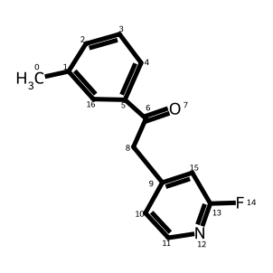 Cc1cccc(C(=O)Cc2ccnc(F)c2)c1